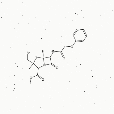 COC(=O)C1N2C(=O)C(NC(=O)COc3ccccc3)[C@@H]2SC1(C)CBr